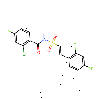 O=C(NS(=O)(=O)C=Cc1ccc(F)cc1F)c1ccc(F)cc1Cl